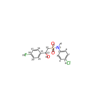 CN(c1ccc(Cl)cc1)S(=O)(=O)CC(=O)c1ccc(F)cc1